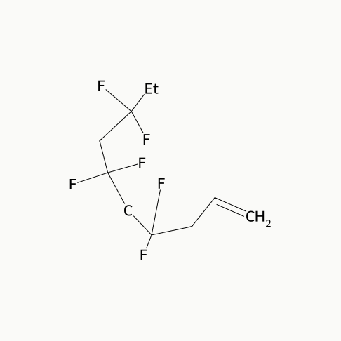 C=CCC(F)(F)CC(F)(F)CC(F)(F)CC